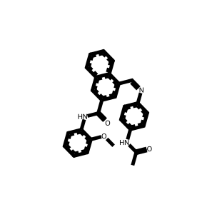 COc1ccccc1NC(=O)c1cc(/C=N\c2ccc(NC(C)=O)cc2)c2ccccc2c1